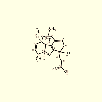 CN1CC[C@]23C4=C5O[C@H]2[C@@H](O)C=C[C@H]3[C@H]1CC4=CCC5(O)CCC(=O)O